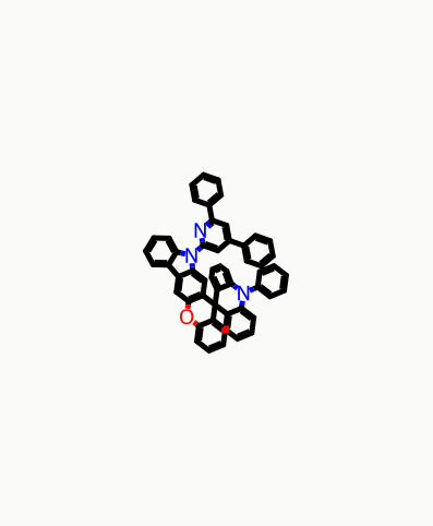 c1ccc(-c2cc(-c3ccccc3)nc(-n3c4ccccc4c4cc5c(cc43)C3(c4ccccc4O5)c4ccccc4N(c4ccccc4)c4ccccc43)c2)cc1